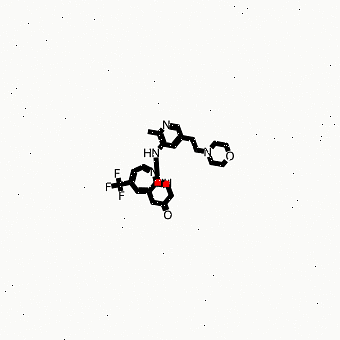 Cc1ncc(CCN2CCOCC2)cc1NC1=NC=C2CC(=O)CC3=CC(C(F)(F)F)=CC=NC23N1